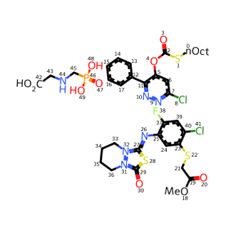 CCCCCCCCSC(=O)Oc1cc(Cl)nnc1-c1ccccc1.COC(=O)CSc1cc(/N=c2\sc(=O)n3n2CCCC3)c(F)cc1Cl.O=C(O)CNCP(=O)(O)O